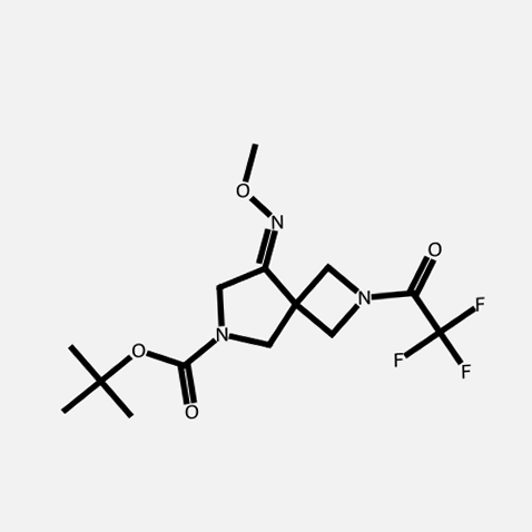 CON=C1CN(C(=O)OC(C)(C)C)CC12CN(C(=O)C(F)(F)F)C2